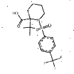 CC(C)(C)C1(C(=O)O)CCCCN1S(=O)(=O)c1ccc(C(F)(F)F)cc1